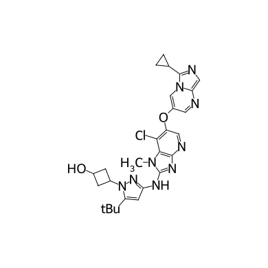 Cn1c(Nc2cc(C(C)(C)C)n(C3CC(O)C3)n2)nc2ncc(Oc3cnc4cnc(C5CC5)n4c3)c(Cl)c21